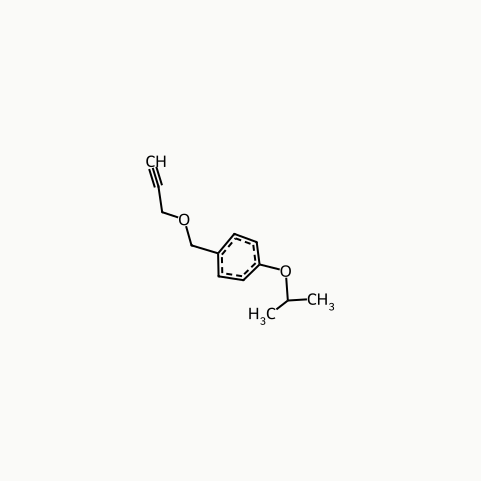 C#CCOCc1ccc(OC(C)C)cc1